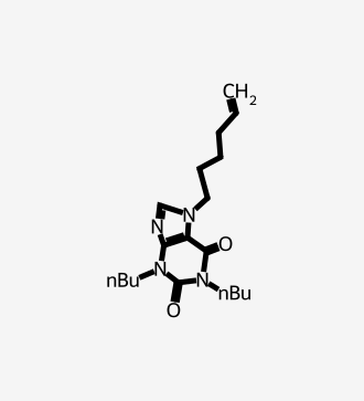 C=CCCCCn1cnc2c1c(=O)n(CCCC)c(=O)n2CCCC